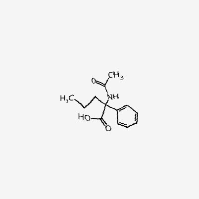 CCCC(NC(C)=O)(C(=O)O)c1ccccc1